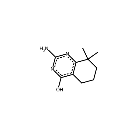 CC1(C)CCCc2c(O)nc(N)nc21